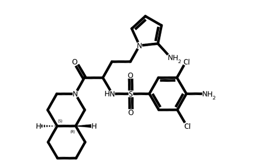 Nc1c(Cl)cc(S(=O)(=O)NC(CCn2cccc2N)C(=O)N2CC[C@@H]3CCCC[C@H]3C2)cc1Cl